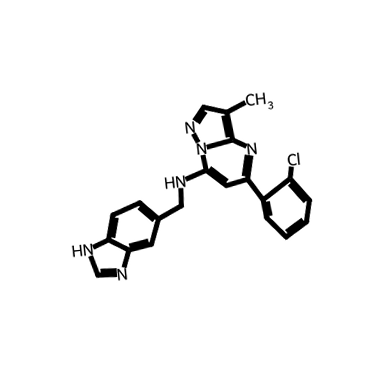 Cc1cnn2c(NCc3ccc4[nH]cnc4c3)cc(-c3ccccc3Cl)nc12